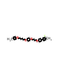 Cc1ccc(OCCCCCCOC2CCC(OCCCCOC3CCC(c4ccc(C)c(F)c4)CC3)CC2)cc1